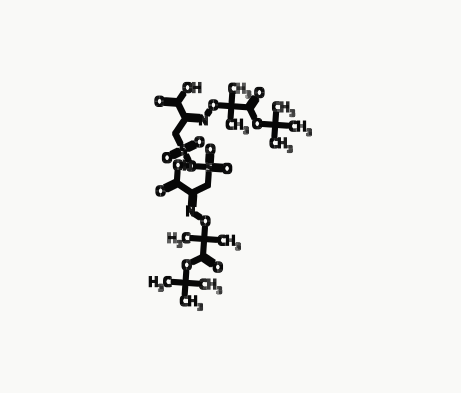 CC(C)(C)OC(=O)C(C)(C)ON=C(CS(=O)(=O)OS(=O)(=O)CC(=NOC(C)(C)C(=O)OC(C)(C)C)C(=O)O)C(=O)O